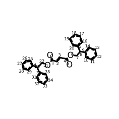 O=C(/C=C/C(=O)OCC(c1ccccc1)c1ccccc1)OCC(c1ccccc1)c1ccccc1